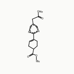 COC(=O)Cc1cnc(C2=CCC(C(=O)OC(C)(C)C)CC2)nc1